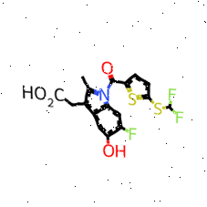 Cc1c(CC(=O)O)c2cc(O)c(F)cc2n1C(=O)c1ccc(SC(F)F)s1